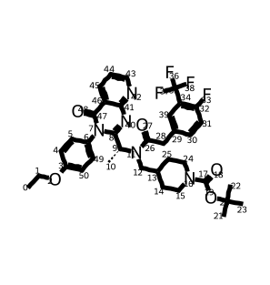 CCOc1ccc(-n2c([C@@H](C)N(CC3CCN(C(=O)OC(C)(C)C)CC3)C(=O)Cc3ccc(F)c(C(F)(F)F)c3)nc3ncccc3c2=O)cc1